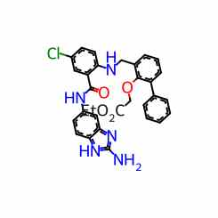 CCOC(=O)COc1c(CNc2ccc(Cl)cc2C(=O)Nc2ccc3[nH]c(N)nc3c2)cccc1-c1ccccc1